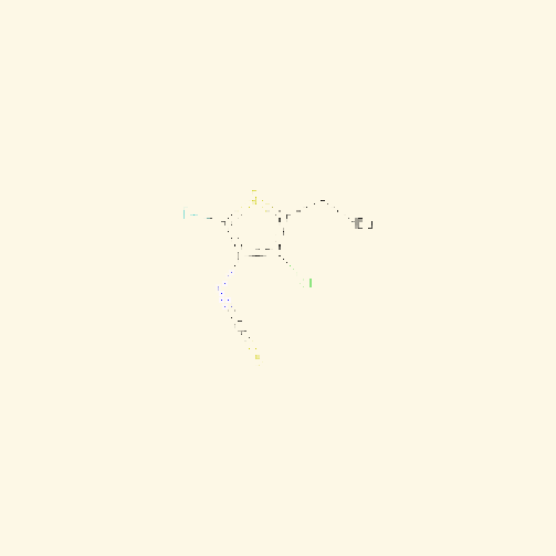 CCC(C)Cc1sc(F)c(N=C=S)c1Cl